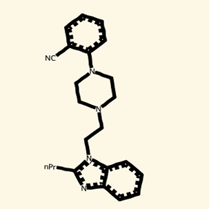 CCCc1nc2ccccc2n1CCN1CCN(c2ccccc2C#N)CC1